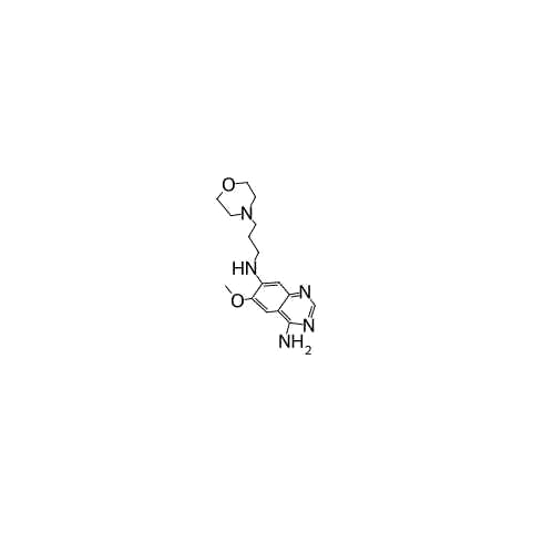 COc1cc2c(N)ncnc2cc1NCCCN1CCOCC1